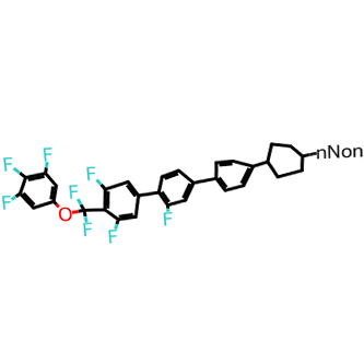 CCCCCCCCCC1CCC(c2ccc(-c3ccc(-c4cc(F)c(C(F)(F)Oc5cc(F)c(F)c(F)c5)c(F)c4)c(F)c3)cc2)CC1